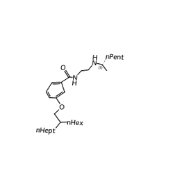 CCCCCCCC(CCCCCC)COc1cccc(C(=O)NCCN[C@@H](C)CCCCC)c1